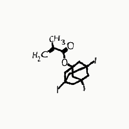 C=C(C)C(=O)OC12CC3(I)CC(I)(CC(I)(C3)C1)C2